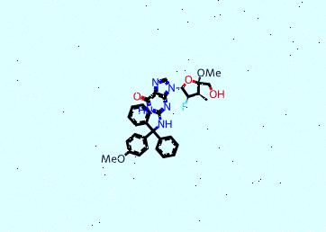 COc1ccc(C(Nc2nc3c(ncn3[C@@H]3O[C@@](CO)(OC)[C@@H](C)[C@H]3F)c(=O)[nH]2)(c2ccccc2)c2ccccc2)cc1